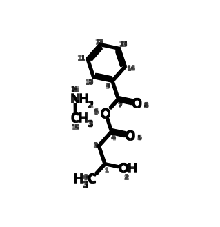 CC(O)CC(=O)OC(=O)c1ccccc1.CN